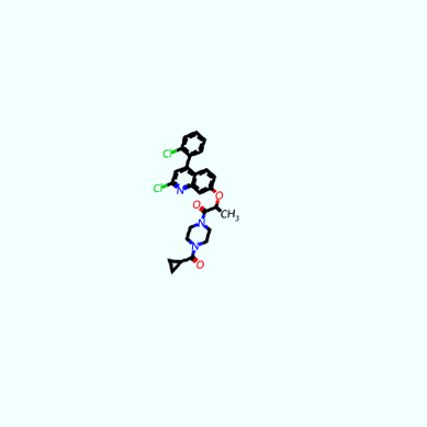 CC(Oc1ccc2c(-c3ccccc3Cl)cc(Cl)nc2c1)C(=O)N1CCN(C(=O)C2CC2)CC1